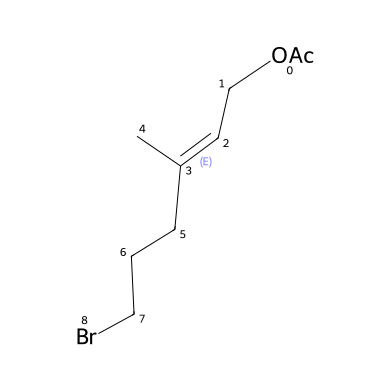 CC(=O)OC/C=C(\C)CCCBr